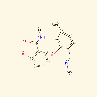 CCNC(=O)c1ccccc1O.COc1ccc(C[NH][Mn])c(O)c1